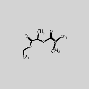 CCOC(=O)C(C)SC(=O)N(C)C